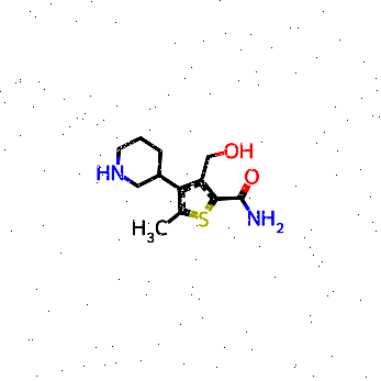 Cc1sc(C(N)=O)c(CO)c1C1CCCNC1